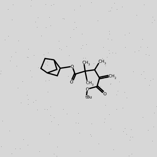 C=C(C(=O)OC(C)(C)C)C(C)C(C)(C)C(=O)OC1CC2CCC1C2